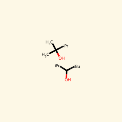 CC(C)C(C)(C)O.CCC(C)C(O)C(C)C